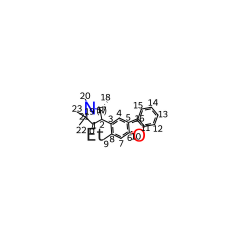 CCC1C(c2cc3c(cc2C)oc2ccccc23)[C@@H](C)N(C)C1(C)C